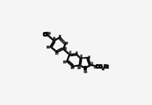 CCOC(=O)c1cc2cc(-c3ccc(Cl)cc3)ccc2s1